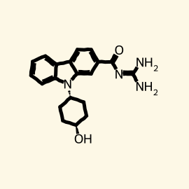 NC(N)=NC(=O)c1ccc2c3ccccc3n([C@H]3CC[C@H](O)CC3)c2c1